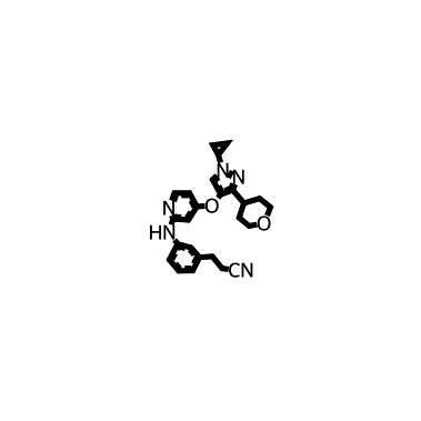 N#CCCc1cccc(Nc2cc(Oc3cn(C4CC4)nc3C3CCOCC3)ccn2)c1